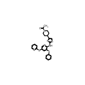 CC(=O)N1CCC(c2csc(Nc3ncc(Sc4ccccn4)cc3Sc3ccccc3)n2)CC1